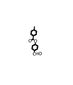 Cc1ccc(C(=O)Oc2ccc(C=O)cc2)cc1